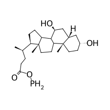 C[C@H](CCC(=O)OP)[C@H]1CCC2C3C(CC[C@@]21C)[C@@]1(C)CC[C@@H](O)C[C@H]1C[C@@H]3O